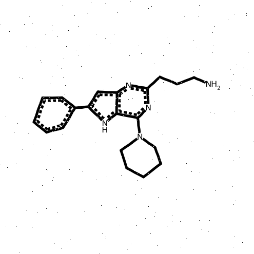 NCCCc1nc(N2CCCCC2)c2[nH]c(-c3ccccc3)cc2n1